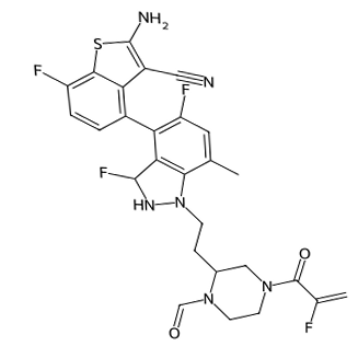 C=C(F)C(=O)N1CCN(C=O)C(CCN2NC(F)c3c(-c4ccc(F)c5sc(N)c(C#N)c45)c(F)cc(C)c32)C1